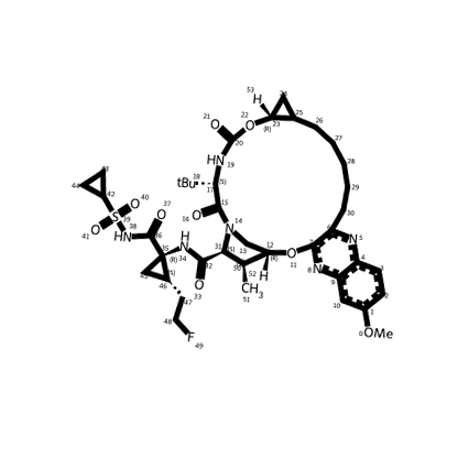 COc1ccc2nc3c(nc2c1)O[C@H]1CN(C(=O)[C@H](C(C)(C)C)NC(=O)O[C@@H]2CC2CCCCC3)[C@H](C(=O)N[C@]2(C(=O)NS(=O)(=O)C3CC3)C[C@H]2CCF)[C@@H]1C